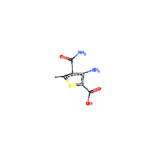 Cc1sc(C(=O)O)c(N)c1C(N)=O